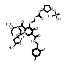 CC1=NO[C@@]2(CC[C@H](C)N3C[C@H]2n2cc(C(=O)NCc4ccc(F)cc4F)c(=O)c(OCOC(=O)O[C@H]4CC[C@@H](OP(=O)(O)O)C4)c2C3=O)C1